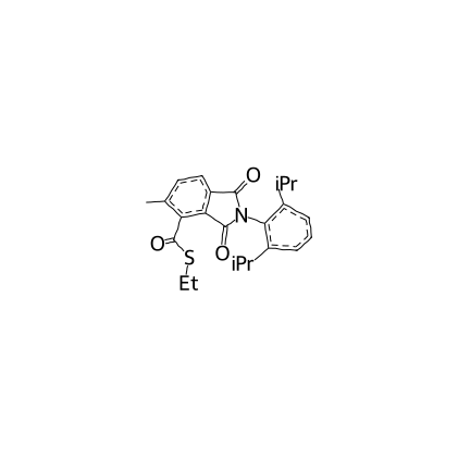 CCSC(=O)c1c(C)ccc2c1C(=O)N(c1c(C(C)C)cccc1C(C)C)C2=O